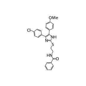 COc1ccc(-c2[nH]c(SCCNC(=O)c3ccccc3)nc2-c2ccc(Cl)cc2)cc1